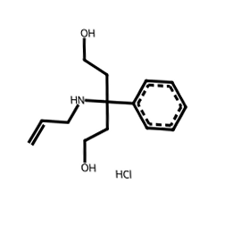 C=CCNC(CCO)(CCO)c1ccccc1.Cl